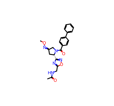 CO/N=C1/C[C@@H](c2noc(CNC(C)=O)n2)N(C(=O)c2ccc(-c3ccccc3)cc2)C1